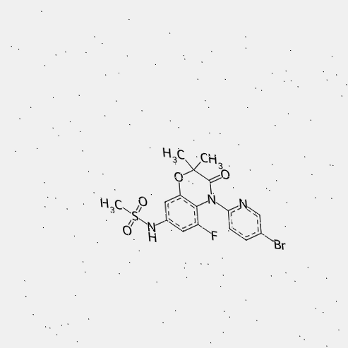 CC1(C)Oc2cc(NS(C)(=O)=O)cc(F)c2N(c2ccc(Br)cn2)C1=O